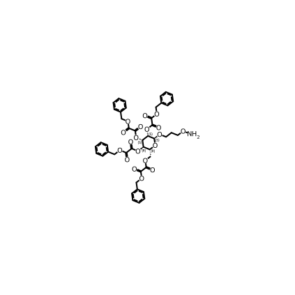 NOCCCO[C@H]1O[C@H](COC(=O)C(=O)OCc2ccccc2)[C@@H](OC(=O)C(=O)OCc2ccccc2)[C@H](OC(=O)C(=O)OCc2ccccc2)[C@@H]1OC(=O)C(=O)OCc1ccccc1